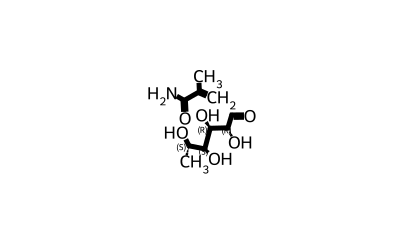 C=C(C)C(N)=O.C[C@H](O)[C@H](O)[C@@H](O)[C@@H](O)C=O